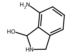 Nc1cccc2c1C(O)NC2